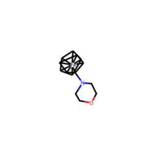 C1CN([C]23[CH]4[CH]5[CH]6[CH]2[Fe]56432789[CH]3[CH]2[CH]7[CH]8[CH]39)CCO1